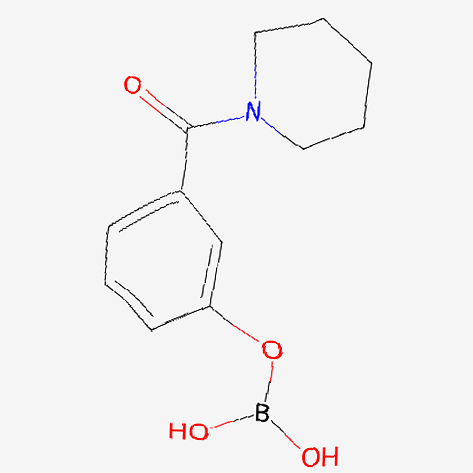 O=C(c1cccc(OB(O)O)c1)N1CCCCC1